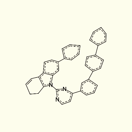 C1=Cc2c(n(-c3nccc(-c4cccc(-c5ccc(-c6ccccc6)cc5)c4)n3)c3cc(-c4ccccc4)ccc23)CC1